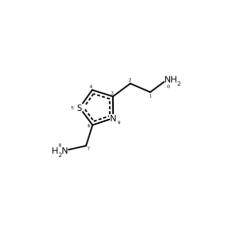 NCCc1csc(CN)n1